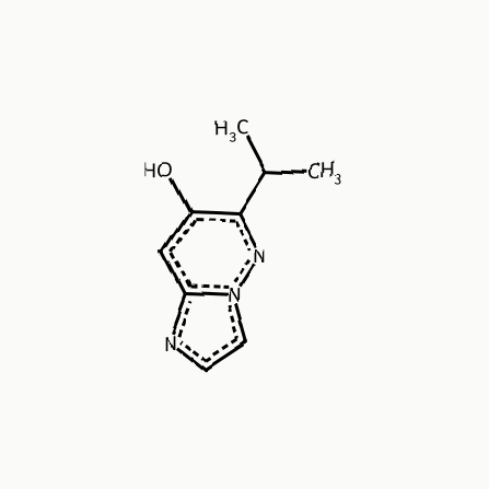 CC(C)c1nn2ccnc2cc1O